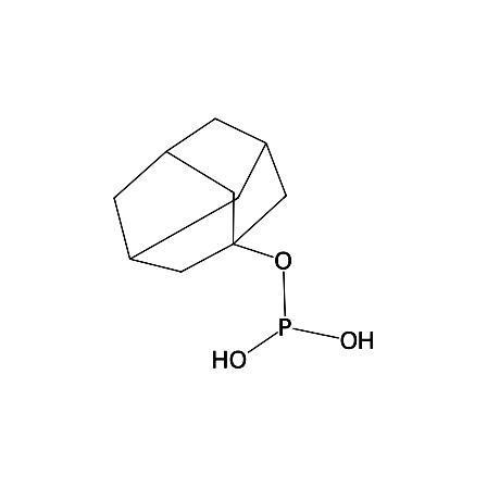 OP(O)OC12CC3CC(CC(C3)C1)C2